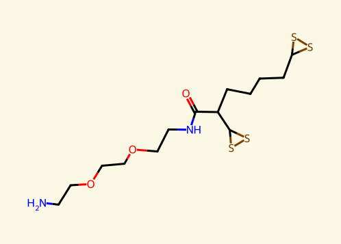 NCCOCCOCCNC(=O)C(CCCCC1SS1)C1SS1